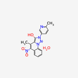 CC1=C([N+](=O)[O-])c2ccccc2N2[N]N(c3ccc(C)nc3)C(O)=C12.O